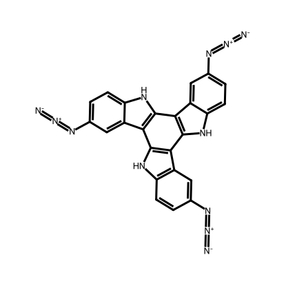 [N-]=[N+]=Nc1ccc2[nH]c3c(c2c1)c1[nH]c2ccc(N=[N+]=[N-])cc2c1c1[nH]c2ccc(N=[N+]=[N-])cc2c31